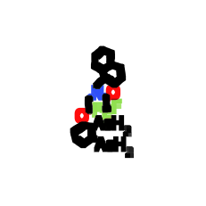 O=C(N(CCOc1cccc([AsH2])c1[AsH2])Cc1cccc2ccccc12)C(F)(F)F